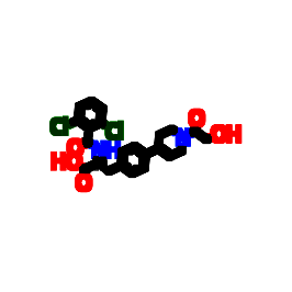 O=C(N[C@@H](Cc1ccc(C2=CCN(C(=O)CO)CC2)cc1)C(=O)O)c1c(Cl)cccc1Cl